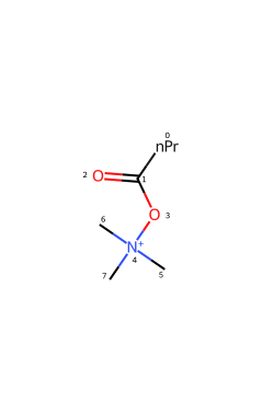 CCCC(=O)O[N+](C)(C)C